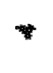 Cc1cc(C)c(/C=C2\C(=O)N(Cc3cccc(Cl)c3)c3ccccc32)[nH]1